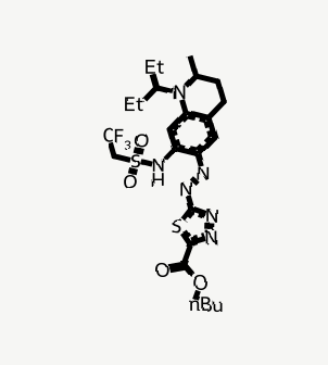 CCCCOC(=O)c1nnc(N=Nc2cc3c(cc2NS(=O)(=O)CC(F)(F)F)N(C(CC)CC)C(C)CC3)s1